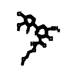 COCCONC(=O)c1nc(-c2ccc(Cl)c(OC)c2F)cc(N)c1Cl